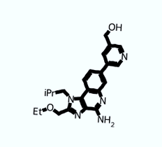 CCOCc1nc2c(N)nc3cc(-c4cncc(CO)c4)ccc3c2n1CC(C)C